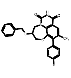 O=c1[nH]c(=O)n2c3c(c(-c4ccc(F)cc4)c(C(F)(F)F)cc13)SCC(OCc1ccccc1)C2